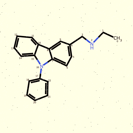 CCNCc1ccc2c(c1)c1ccccc1n2-c1ccccc1